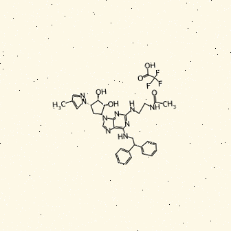 CC(=O)NCCNc1nc(NCC(c2ccccc2)c2ccccc2)c2ncn([C@@H]3C[C@H](n4cc(C)cn4)[C@@H](O)[C@H]3O)c2n1.O=C(O)C(F)(F)F